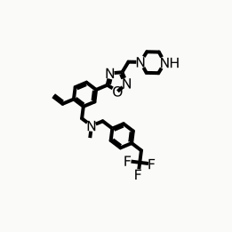 C=Cc1ccc(-c2nc(CN3CCNCC3)no2)cc1CN(C)Cc1ccc(CC(F)(F)F)cc1